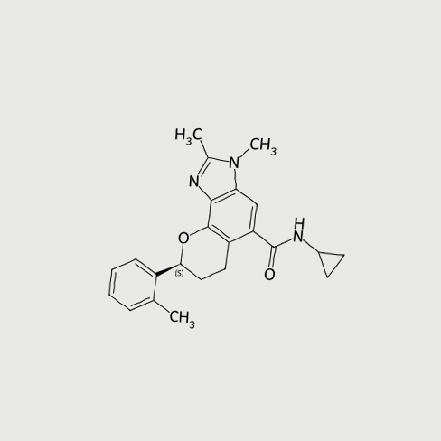 Cc1ccccc1[C@@H]1CCc2c(C(=O)NC3CC3)cc3c(nc(C)n3C)c2O1